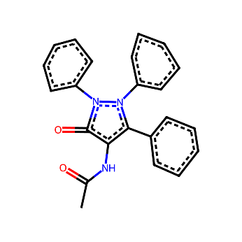 CC(=O)Nc1c(-c2ccccc2)n(-c2ccccc2)n(-c2ccccc2)c1=O